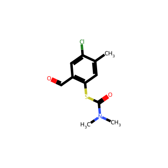 Cc1cc(SC(=O)N(C)C)c(C=O)cc1Cl